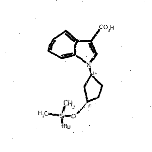 CC(C)(C)[Si](C)(C)O[C@@H]1CC[C@H](n2cc(C(=O)O)c3ccccc32)C1